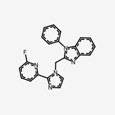 Fc1cccc(-c2nccn2Cc2nc3ccccc3n2-c2ccccc2)n1